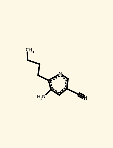 CCCCc1ncc(C#N)cc1N